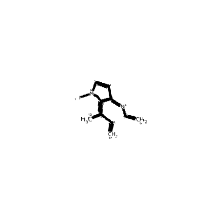 C=C/N=C1/C=CN(I)/C1=C(\C)C=C